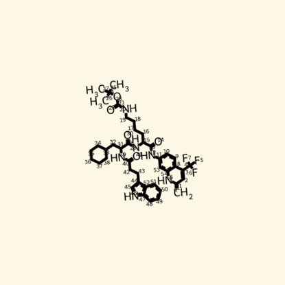 C=C1C=C(C(F)(F)F)c2ccc(NC(=O)C(CCCCNC(=O)OC(C)(C)C)NC(=O)C(CC3CCCCC3)NC(=O)CCc3c[nH]c4ccccc34)cc2N1